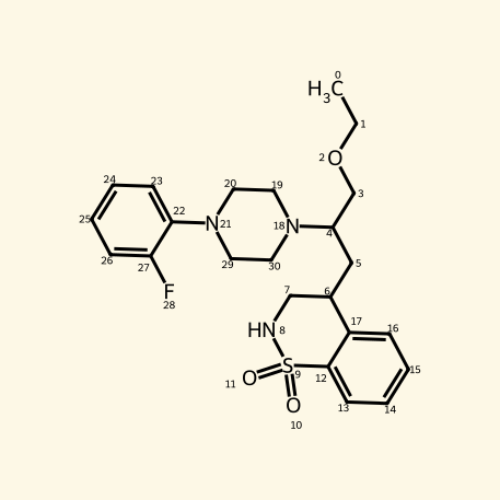 CCOCC(CC1CNS(=O)(=O)c2ccccc21)N1CCN(c2ccccc2F)CC1